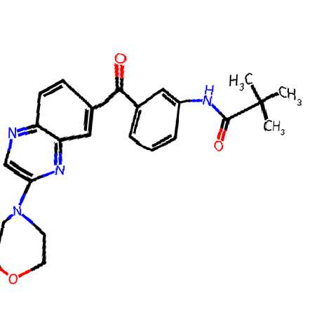 CC(C)(C)C(=O)Nc1cccc(C(=O)c2ccc3ncc(N4CCOCC4)nc3c2)c1